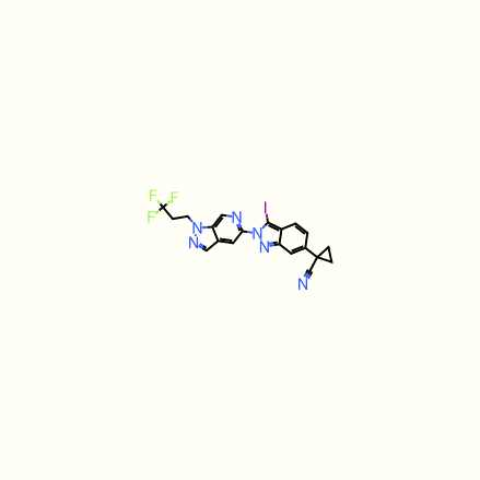 N#CC1(c2ccc3c(I)n(-c4cc5cnn(CCC(F)(F)F)c5cn4)nc3c2)CC1